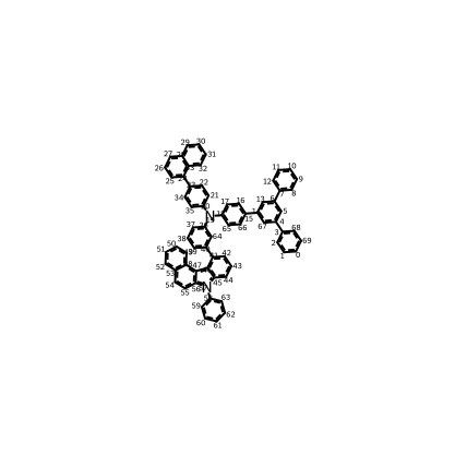 c1ccc(-c2cc(-c3ccccc3)cc(-c3ccc(N(c4ccc(-c5cccc6ccccc56)cc4)c4cccc(-c5cccc6c5c5c7ccccc7ccc5n6-c5ccccc5)c4)cc3)c2)cc1